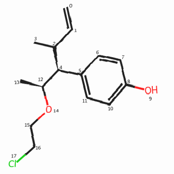 C=CC(C)[C@@H](c1ccc(O)cc1)[C@H](C)OCCCl